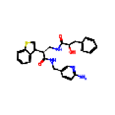 Nc1ccc(CNC(=O)[C@@H](CNC(=O)[C@H](O)Cc2ccccc2)c2csc3ccccc23)cn1